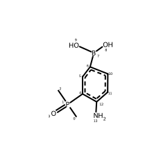 CP(C)(=O)c1cc(B(O)O)ccc1N